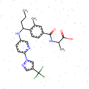 CCCC(Nc1ccc(-n2cc(C(F)(F)F)cn2)nc1)c1ccc(C(=O)NC(C)C(=O)O)cc1C